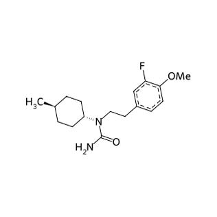 COc1ccc(CCN(C(N)=O)[C@H]2CC[C@H](C)CC2)cc1F